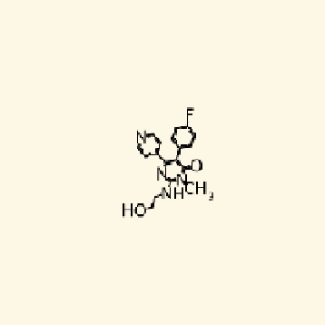 Cn1c(NCCO)nc(-c2ccncc2)c(-c2ccc(F)cc2)c1=O